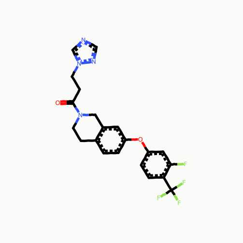 O=C(CCn1cncn1)N1CCc2ccc(Oc3ccc(C(F)(F)F)c(F)c3)cc2C1